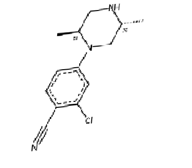 C[C@@H]1CN(c2ccc(C#N)c(Cl)c2)[C@@H](C)CN1